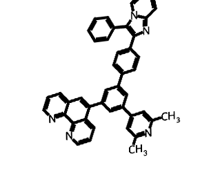 Cc1cc(-c2cc(-c3ccc(-c4nc5ccccn5c4-c4ccccc4)cc3)cc(-c3cc4cccnc4c4ncccc34)c2)cc(C)n1